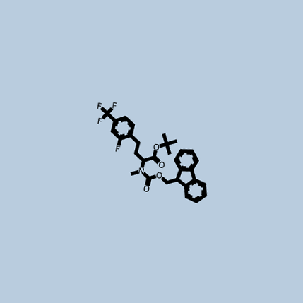 CN(C(=O)OCC1c2ccccc2-c2ccccc21)C(CCc1ccc(C(F)(F)F)cc1F)C(=O)OC(C)(C)C